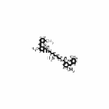 Cc1ccc(C(=O)NCCCC(N)CCCNC(=O)c2ccc(C)c3cc4cccc(C)c4nc23)c2nc3c(C)cccc3cc12